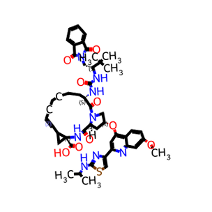 COc1ccc2c(O[C@@H]3C[C@H]4C(=O)N[C@]5(C(=O)O)CC5/C=C\CCCCC[C@H](NC(=O)N[C@H](CN5C(=O)c6ccccc6C5=O)C(C)(C)C)C(=O)N4C3)cc(-c3csc(NC(C)C)n3)nc2c1